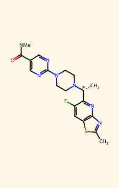 CNC(=O)c1cnc(N2CCN([C@H](C)c3nc4nc(C)sc4cc3F)CC2)nc1